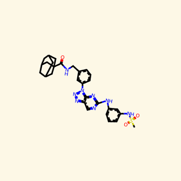 CS(=O)(=O)Nc1cccc(Nc2ncc3nnn(-c4cccc(CNC(=O)C56CC7CC(CC(C7)C5)C6)c4)c3n2)c1